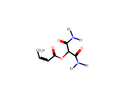 CCN(CC)C(=O)C(OC(=O)/C=C\C(=O)O)C(=O)N(CC)CC